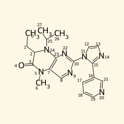 CCC1C(=O)N(C)c2cnc(-n3ccnc3-c3cccnc3)nc2N1C(C)C